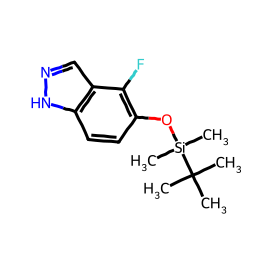 CC(C)(C)[Si](C)(C)Oc1ccc2[nH]ncc2c1F